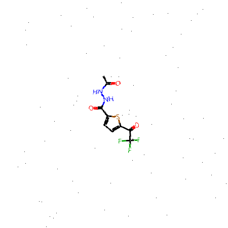 CC(=O)NNC(=O)c1ccc(C(=O)C(F)(F)F)s1